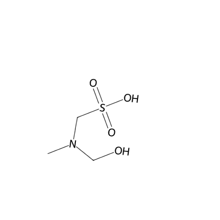 CN(CO)CS(=O)(=O)O